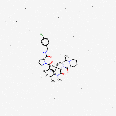 C/C(=C\[C@H](C(C)C)N(C)C(=O)[C@@H](NC(=O)[C@H]1CCCCN1C(C)C)C(C)(C)C)C(=O)N1CCC[C@H]1C(=O)NCc1ccc(Br)cc1